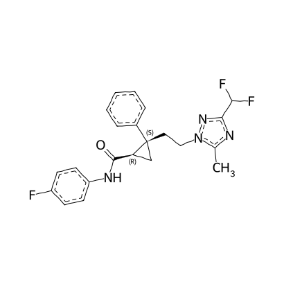 Cc1nc(C(F)F)nn1CC[C@@]1(c2ccccc2)C[C@H]1C(=O)Nc1ccc(F)cc1